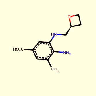 Cc1cc(C(=O)O)cc(NC[C@@H]2CCO2)c1N